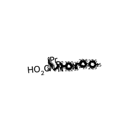 CC(C)CCN(CC(=O)O)Cc1nc(-c2ccc(N(C)Cc3ccc([C@H]4CC[C@H](C)CC4)cc3)cc2)cs1